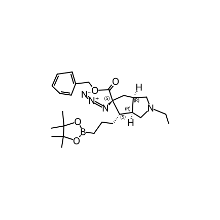 CCN1C[C@@H]2C[C@@](N=[N+]=[N-])(C(=O)OCc3ccccc3)[C@@H](CCCB3OC(C)(C)C(C)(C)O3)[C@@H]2C1